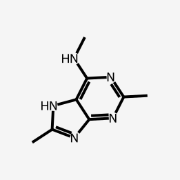 CNc1nc(C)nc2nc(C)[nH]c12